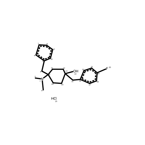 CN(C)C1(Cc2ccccc2)CCC(O)(Cc2ccc(F)cc2)CC1.Cl